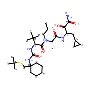 CCCN(C(=O)[C@@H](NC(=O)NC1(CSC(C)(C)C)CCCCC1)C(C)(C)C)[C@@H](I)C(=O)NC(CC1CC1)C(=O)C(N)=O